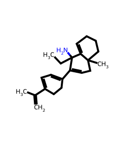 C=C(C)C1=CC=C(C2=CCC3(C)CCCC=C3C2(N)CC)CC1